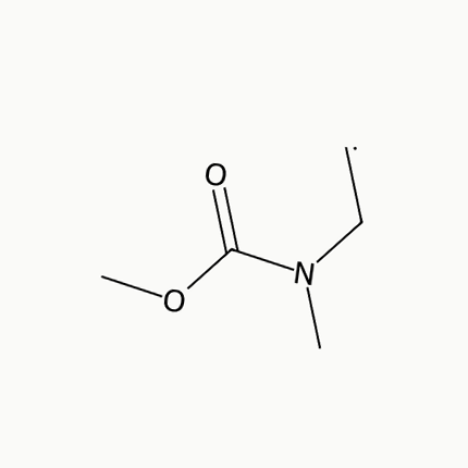 [CH2]CN(C)C(=O)OC